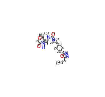 CC(C)(C)Cc1nnc(-c2ccc(C3CN(C(=O)N4CC[C@@H]5OCC(=O)N[C@@H]5C4)C3)cc2)o1